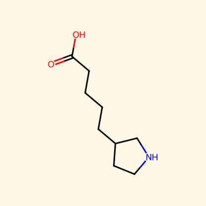 O=C(O)CCCCC1CCNC1